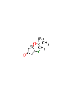 CC(C)(C)[Si](C)(C)O[C@@H]1CC(=O)C=C1Cl